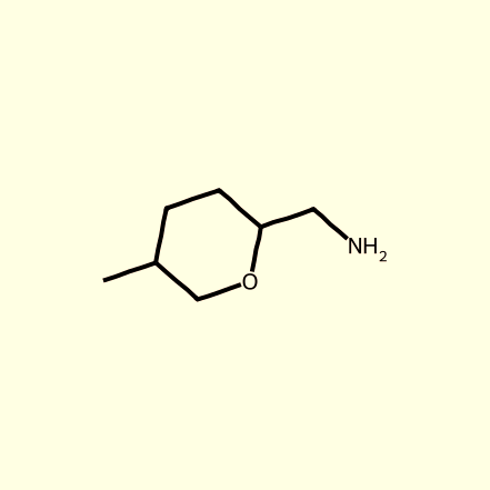 CC1CCC(CN)OC1